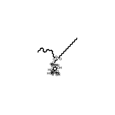 CCC/C=C\C/C=C\C/C=C\C/C=C\CCCC(=O)OC(COC(=O)CCCCCCCCCCCCCCCCC)COP(=O)(O)OC1C(O)C(O)C(OP(=O)(O)O)C(OP(=O)(O)O)C1O